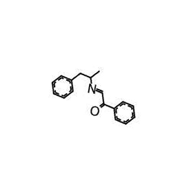 CC(Cc1ccccc1)N=CC(=O)c1ccccc1